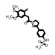 COc1cc(I)c(CC(=O)N2CCC(c3ccc(NS(C)(=O)=O)cc3)=N2)cc1OC